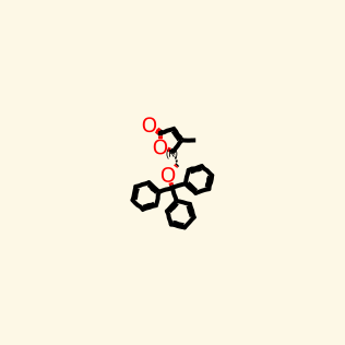 CC1=CC(=O)O[C@H]1COC(c1ccccc1)(c1ccccc1)c1ccccc1